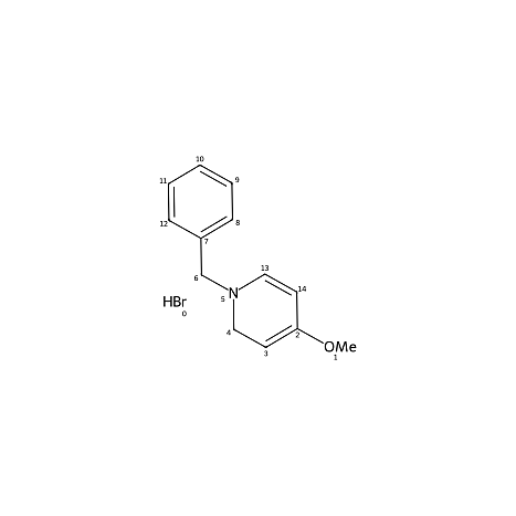 Br.COC1=CCN(Cc2ccccc2)C=C1